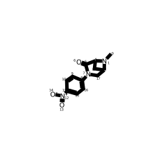 CN1C2CC1C(=O)N(c1ccc([N+](=O)[O-])cc1)C2